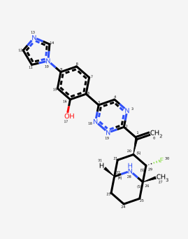 C=C(c1ncc(-c2ccc(-n3ccnc3)cc2O)nn1)[C@@H]1C[C@H]2CCC[C@](C)(N2)[C@H]1F